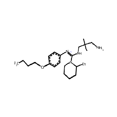 CCC1CCCCN1/C(=N\c1ccc(OCCCC(F)(F)F)cc1)NCC(C)(C)CN